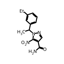 CCc1cccc(C(C)n2ncc(C(N)=O)c2[N+](=O)[O-])c1